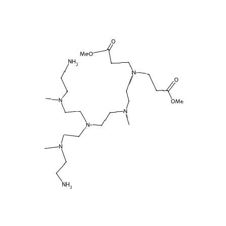 COC(=O)CCN(CCC(=O)OC)CCN(C)CCN(CCN(C)CCN)CCN(C)CCN